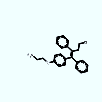 NCCOc1ccc(C(=C(CCCl)c2ccccc2)c2ccccc2)cc1